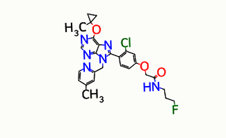 Cc1ccnc(Cn2c(-c3ccc(OCC(=O)NCCCF)cc3Cl)nc3c(OC4(C)CC4)ncnc32)c1